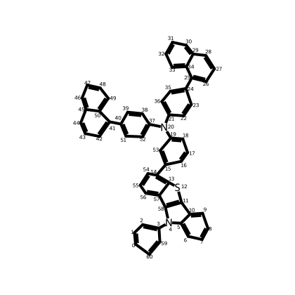 c1ccc(-n2c3ccccc3c3sc4c(-c5cccc(N(c6ccc(-c7cccc8ccccc78)cc6)c6ccc(-c7cccc8ccccc78)cc6)c5)cccc4c32)cc1